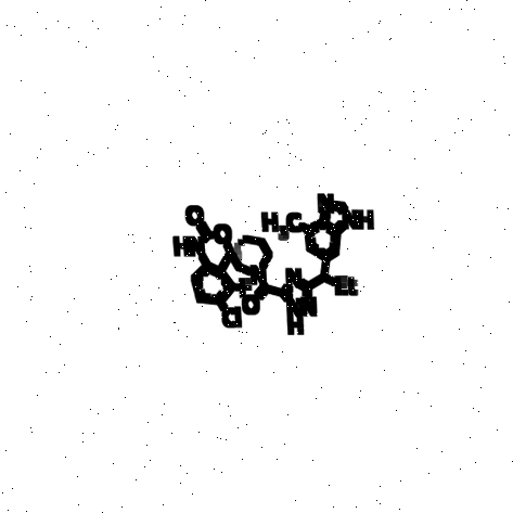 CCC(c1cc(C)c2nc[nH]c2c1)c1n[nH]c(C(=O)N2CCC[C@@]3(C2)OC(=O)Nc2ccc(Cl)c(F)c23)n1